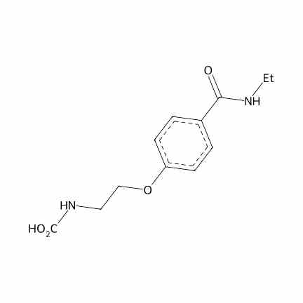 CCNC(=O)c1ccc(OCCNC(=O)O)cc1